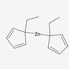 CC[C]1([Zn][C]2(CC)C=CC=C2)C=CC=C1